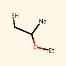 CCO[CH]([Na])CS